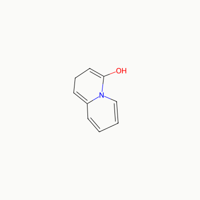 OC1=CCC=C2C=CC=CN12